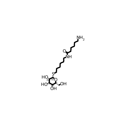 NCCCCCC(=O)NCCCCCCS[C@@H]1O[C@H](CO)[C@@H](O)[C@H](O)[C@@H]1O